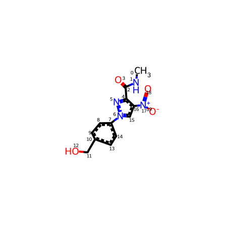 CNC(=O)c1nn(-c2ccc(CO)cc2)cc1[N+](=O)[O-]